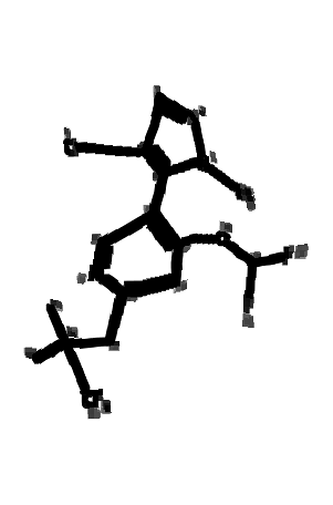 CCn1ncc(Cl)c1-c1cnc(CC(C)(C)C(F)(F)F)cc1OC(F)F